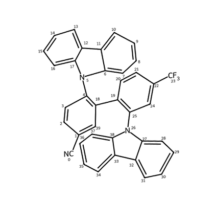 N#Cc1ccc(-n2c3ccccc3c3ccccc32)c(-c2ccc(C(F)(F)F)cc2-n2c3ccccc3c3ccccc32)c1